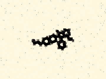 Cn1c(C2=CCC3(CC2)CCN(C=CC=O)CC3)c(-c2ncccn2)c2c(N)ncnc21